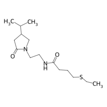 CCSCCCC(=O)NCCN1CC(C(C)C)CC1=O